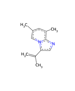 C=C(C)c1cnc2c(C)cc(C)cn12